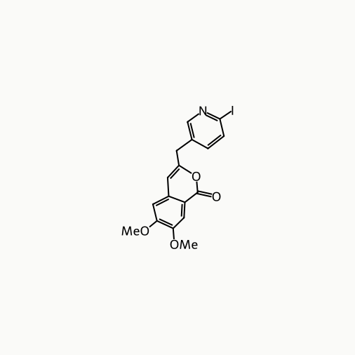 COc1cc2cc(Cc3ccc(I)nc3)oc(=O)c2cc1OC